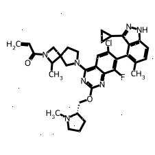 C=CC(=O)N1CC2(CCN(c3nc(OC[C@@H]4CCCN4C)nc4c(F)c(-c5c(C)ccc6[nH]nc(C7CC7)c56)c(Cl)cc34)C2)C1C